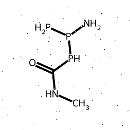 CNC(=O)PP(N)P